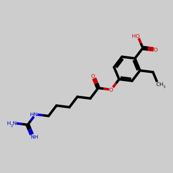 CCc1cc(OC(=O)CCCCCNC(=N)N)ccc1C(=O)O